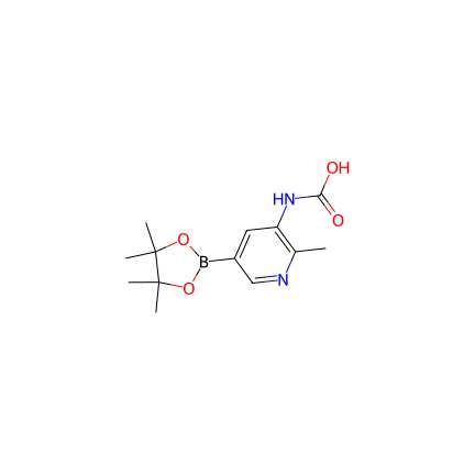 Cc1ncc(B2OC(C)(C)C(C)(C)O2)cc1NC(=O)O